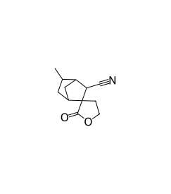 CC1CC2CC1C(C#N)C21CCOC1=O